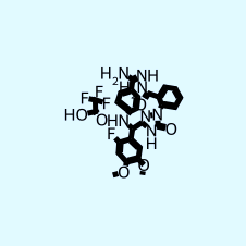 COc1cc(F)c(C(Nc2ccc(C(=N)N)cc2)c2nn(-c3ccccc3C(N)=O)c(=O)[nH]2)cc1OC.O=C(O)C(F)(F)F